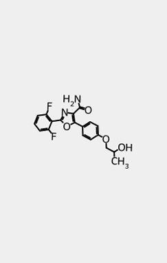 CC(O)COc1ccc(-c2oc(-c3c(F)cccc3F)nc2C(N)=O)cc1